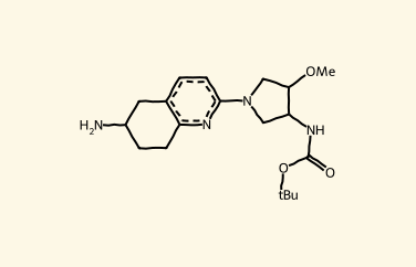 COC1CN(c2ccc3c(n2)CCC(N)C3)CC1NC(=O)OC(C)(C)C